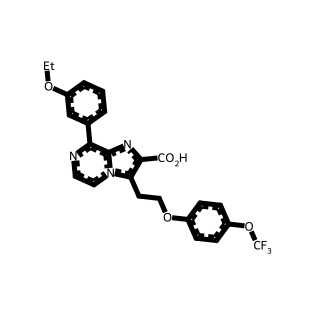 CCOc1cccc(-c2nccn3c(CCOc4ccc(OC(F)(F)F)cc4)c(C(=O)O)nc23)c1